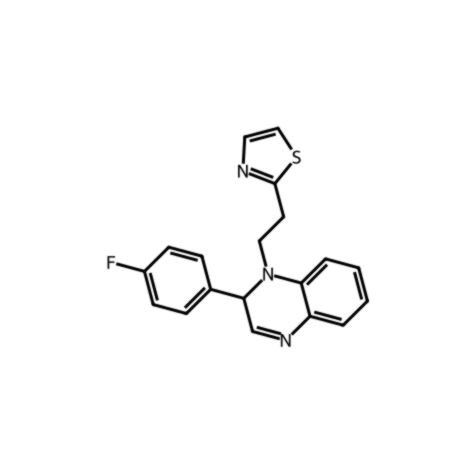 Fc1ccc(C2C=Nc3ccccc3N2CCc2nccs2)cc1